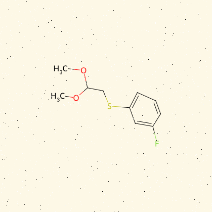 COC(CSc1cccc(F)c1)OC